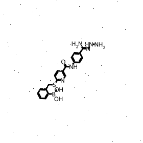 NN/N=C(\N)c1ccc(NC(=O)c2ccc(SCc3ccccc3B(O)O)nc2)cc1